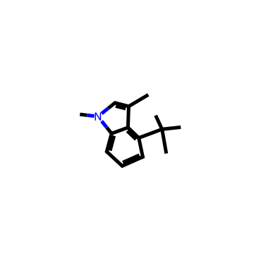 Cc1cn(C)c2cccc(C(C)(C)C)c12